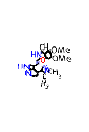 COc1ccc([C@@H](C)NC(=O)/C=C/c2c[nH]c3nccc(-c4cnn(C)c4C)c23)cc1OC